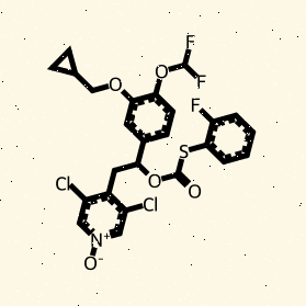 O=C(OC(Cc1c(Cl)c[n+]([O-])cc1Cl)c1ccc(OC(F)F)c(OCC2CC2)c1)Sc1ccccc1F